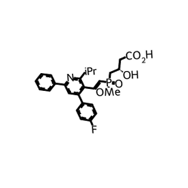 COP(=O)(C=Cc1c(-c2ccc(F)cc2)cc(-c2ccccc2)nc1C(C)C)C[C@@H](O)CC(=O)O